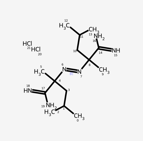 CC(C)CC(C)(/N=N/C(C)(CC(C)C)C(=N)N)C(=N)N.Cl.Cl